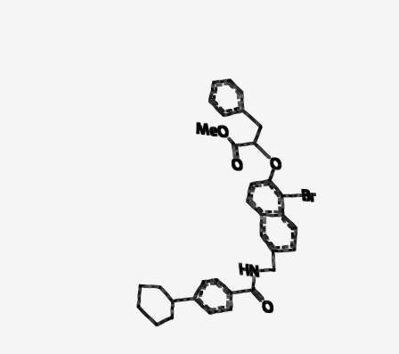 COC(=O)C(Cc1ccccc1)Oc1ccc2cc(CNC(=O)c3ccc(C4CCCCC4)cc3)ccc2c1Br